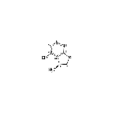 C[C@@H]1C[C]c2ncnc(Cl)c21